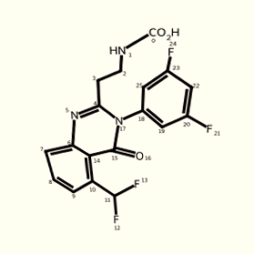 O=C(O)NCCc1nc2cccc(C(F)F)c2c(=O)n1-c1cc(F)cc(F)c1